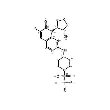 Cc1cc2cnc(NC3CCN(S(=O)(=O)C(F)(F)F)CC3)nc2n([C@H]2CCC[C@@H]2O)c1=O